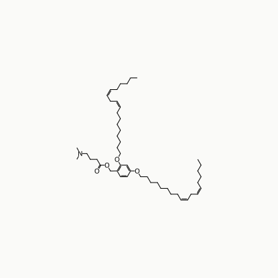 CCCCC/C=C\C/C=C\CCCCCCCCOc1ccc(COC(=O)CCCN(C)C)c(OCCCCCCCC/C=C\C/C=C\CCCCC)c1